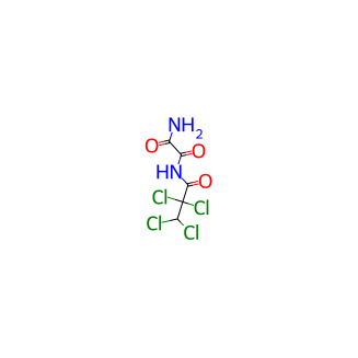 NC(=O)C(=O)NC(=O)C(Cl)(Cl)C(Cl)Cl